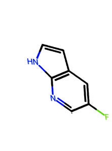 Fc1[c]nc2[nH]ccc2c1